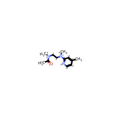 CC(=O)N(C)CCN(C)c1cc(C)ccn1